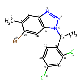 Cc1cc2nnn([C@H](C)c3ccc(Cl)cc3Cl)c2cc1Br